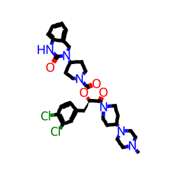 CN1CCN(C2CCN(C(=O)[C@@H](Cc3ccc(Cl)c(Cl)c3)OC(=O)N3CCC(N4Cc5ccccc5NC4=O)CC3)CC2)CC1